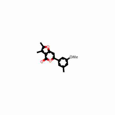 COc1cc(C)cc(-c2cc3oc(C)c(C)c3c(=O)o2)c1